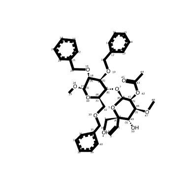 C=C[C@]1(CO)O[C@@H](O[C@H]2[C@H](OCc3ccccc3)[C@@H](OCc3ccccc3)[C@@H](OC)O[C@@H]2COCc2ccccc2)[C@@H](OC(C)=O)[C@@H](OC)[C@@H]1O